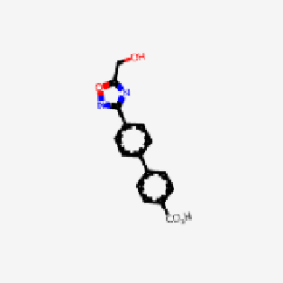 O=C(O)c1ccc(-c2ccc(-c3noc(CO)n3)cc2)cc1